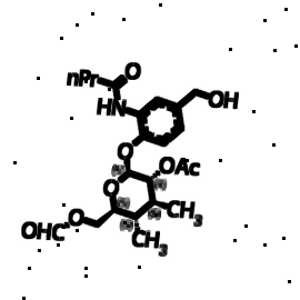 CCCC(=O)Nc1cc(CO)ccc1O[C@@H]1O[C@H](COC=O)[C@@H](C)[C@H](C)[C@H]1OC(C)=O